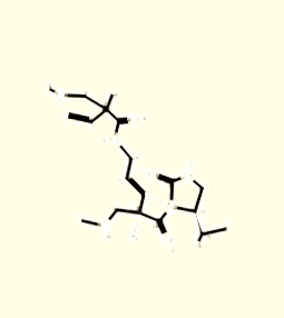 C=CC(C)(COC)C(=O)OCC=C[C@](C)(COC)C(=O)N1C(=O)OC[C@H]1C(C)C